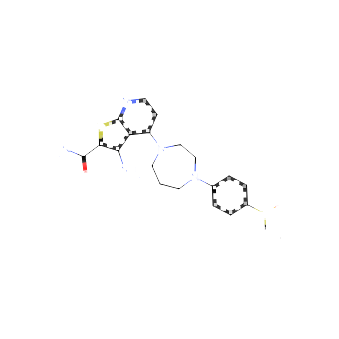 C[S+]([O-])c1ccc(N2CCCN(c3ccnc4sc(C(N)=O)c(N)c34)CC2)cc1